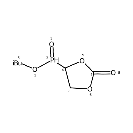 CCC(C)O[PH](=O)C1COC(=O)O1